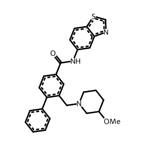 COC1CCCN(Cc2cc(C(=O)Nc3ccc4scnc4c3)ccc2-c2ccccc2)C1